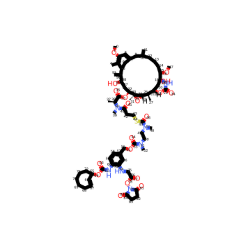 COC1=C(C)C2CC(=C1)CC(C)CCCC(OC)C1(O)C[C@H](OC(=O)N1)[C@@H](C)[C@@H]1O[C@@]1(C)[C@@H](OC(=O)[C@H](C)N(C)C(=O)CCSC(=O)N(C)CCN(C)C(=O)OCc1ccc(NC(=O)OC3/C=C/CCCCC3)c(NCC(=O)ON3C(=O)CCC3=O)c1)CC(O)C2C